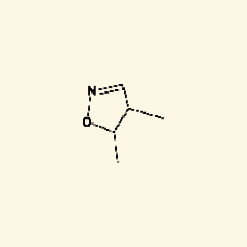 CC1[C]=NOC1C